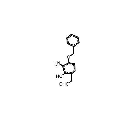 Nc1c(OCc2ccccc2)ccc(CC=O)c1O